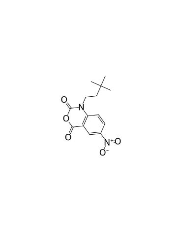 CC(C)(C)CCn1c(=O)oc(=O)c2cc([N+](=O)[O-])ccc21